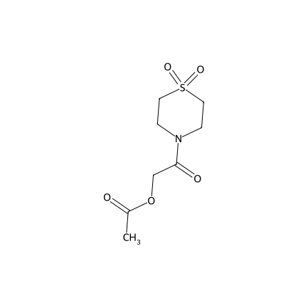 CC(=O)OCC(=O)N1CCS(=O)(=O)CC1